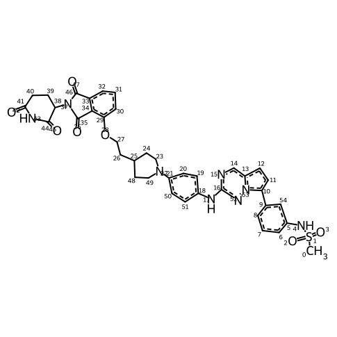 CS(=O)(=O)Nc1cccc(-c2ccc3cnc(Nc4ccc(N5CCC(CCOc6cccc7c6C(=O)N(C6CCC(=O)NC6=O)C7=O)CC5)cc4)nn23)c1